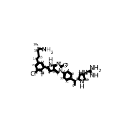 CC(c1ccc(-n2cc3cc(-c4cc(CCC[C@H](C)N)cc(Cl)c4F)[nH]c3nc2=O)cc1)[C@@H]1C[C@@H](NC(=N)N)CN1